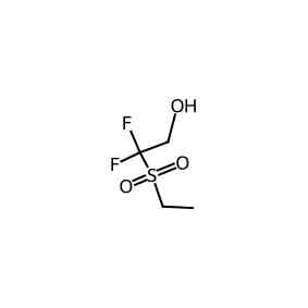 CCS(=O)(=O)C(F)(F)CO